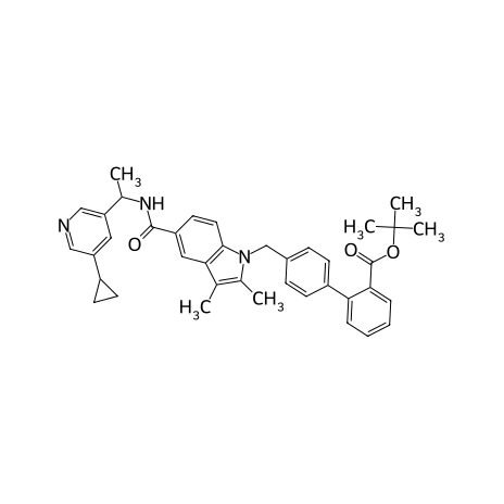 Cc1c(C)n(Cc2ccc(-c3ccccc3C(=O)OC(C)(C)C)cc2)c2ccc(C(=O)NC(C)c3cncc(C4CC4)c3)cc12